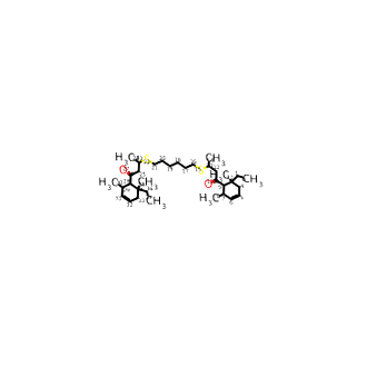 CCC1(C)CC=CC(C)C1C(=O)CC(C)SCCCCCCSC(C)CC(=O)C1C(C)C=CCC1(C)CC